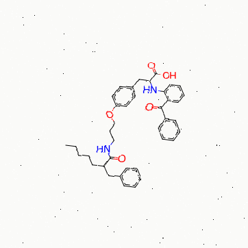 CCCCCC(Cc1ccccc1)C(=O)NCCCOc1ccc(CC(Nc2ccccc2C(=O)c2ccccc2)C(=O)O)cc1